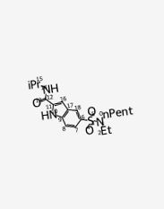 CCCCCN(CC)S(=O)(=O)c1ccc2[nH]c(C(=O)NC(C)C)cc2c1